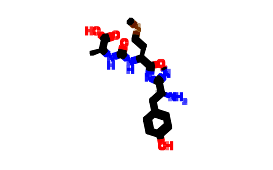 CSCC[C@H](NC(=O)N[C@@H](C)C(=O)O)c1nc([C@@H](N)Cc2ccc(O)cc2)no1